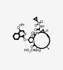 CCCOc1cnc(O[C@@H]2C[C@H]3C(=O)N[C@]4(C(=O)NS(=O)(=O)C5CC5)C[C@H]4C=CCC[C@@H](C)C[C@@H](C)[C@H](NC(=O)O)C(=O)N3C2)c2ccccc12